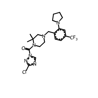 CC1(C)CN(Cc2ccc(C(F)(F)F)cc2N2CCCC2)CCN1C(=O)n1cnc(Cl)n1